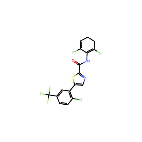 O=C(NC1=C(F)CCC=C1F)c1ncc(-c2cc(C(F)(F)F)ccc2Cl)s1